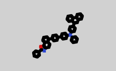 c1ccc(-c2nc3ccc4c(-c5ccc(-c6ccc(N(c7ccccc7)c7ccc(-c8cc9ccccc9c9ccccc89)cc7)cc6)cc5)cccc4c3o2)cc1